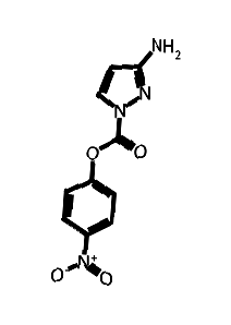 Nc1ccn(C(=O)Oc2ccc([N+](=O)[O-])cc2)n1